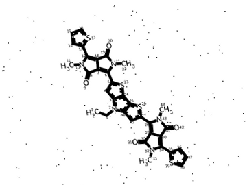 CCn1c2cc(C3=C4C(=O)N(C)C(c5cccs5)=C4C(=O)N3C)sc2c2sc(C3=C4C(=O)N(C)C(c5cccs5)=C4C(=O)N3C)cc21